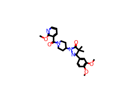 COc1ccc(C2=NN(C3CCN(C(=O)c4cccnc4OC)CC3)C(=O)C2(C)C)cc1OC